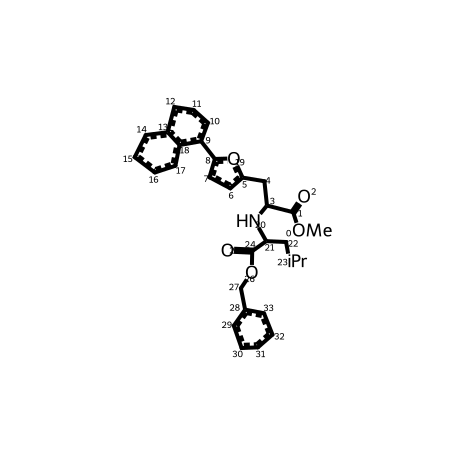 COC(=O)C(Cc1ccc(-c2cccc3ccccc23)o1)NC(CC(C)C)C(=O)OCc1ccccc1